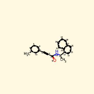 Cc1cccc(C#CC(=O)N[C@H](C)c2cccc3ccccc23)c1